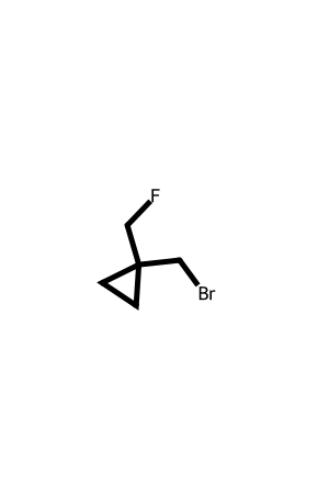 FCC1(CBr)CC1